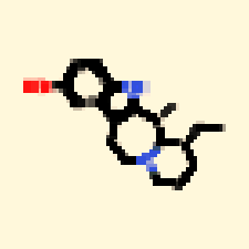 CC[C@H]1CCCN2CCc3c([nH]c4ccc(O)cc34)[C@H](C)C12